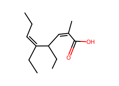 CCC=C(CC)C(C=C(C)C(=O)O)CC